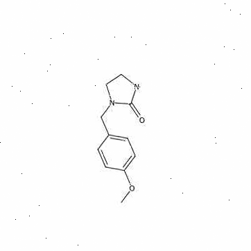 COc1ccc(CN2CC[N]C2=O)cc1